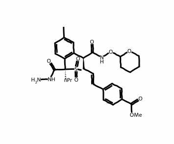 CCC[C@](C(=O)NN)(c1ccc(C)cc1[C@H](C/C=C/c1ccc(C(=O)OC)cc1)C(=O)NOC1CCCCO1)S(C)(=O)=O